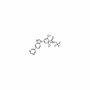 COc1cc(-n2cnc3cc(-c4cncnc4)ccc32)cc(OC)c1C(=O)NCC(F)(F)F